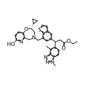 CCOC(=O)CC(c1cc(CN2Cc3nc(O)ccc3O[C@H](C3CC3)C2)c2sccc2c1)c1ccc2c(nnn2C)c1C